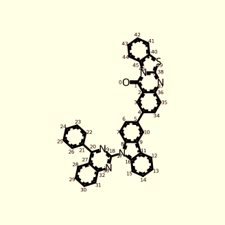 O=c1c2cc(-c3ccc4c(c3)c3ccccc3n4-c3nc(-c4ccccc4)c4ccccc4n3)ccc2nc2sc3ccccc3n12